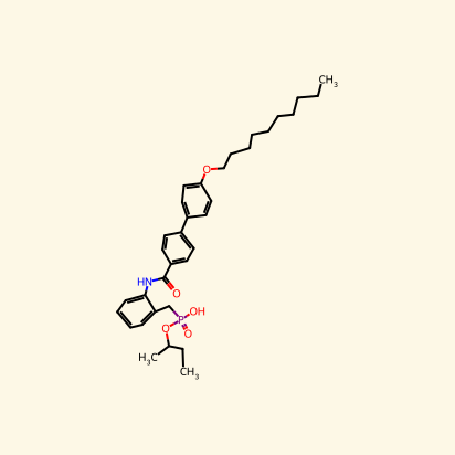 CCCCCCCCCCOc1ccc(-c2ccc(C(=O)Nc3ccccc3CP(=O)(O)OC(C)CC)cc2)cc1